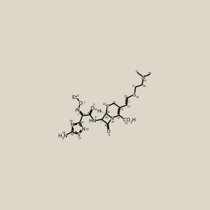 CCO/N=C(\C(=O)NC1C(=O)N2C(C(=O)O)=C(/C=C/SCCN(C)C)CS[C@H]12)c1nsc(N)n1